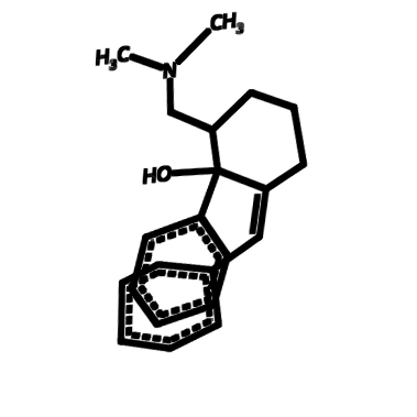 CN(C)CC1CCC/C(=C/c2ccccc2)C1(O)c1ccccc1